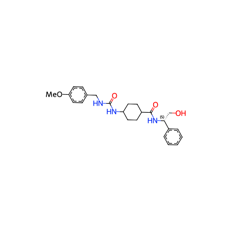 COc1ccc(CNC(=O)NC2CCC(C(=O)N[C@H](CO)c3ccccc3)CC2)cc1